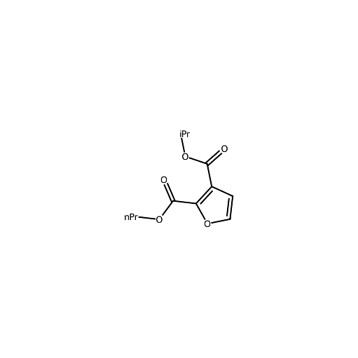 CCCOC(=O)c1occc1C(=O)OC(C)C